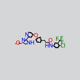 COC[C@@H]1CNC(c2cc(Oc3cccc(CCC(=O)Nc4ccc(Cl)c(C(F)(F)F)c4)c3)ccn2)=N1